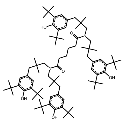 CC(C)(Cc1cc(C(C)(C)C)c(O)c(C(C)(C)C)c1)CN(CC(C)(C)Cc1cc(C(C)(C)C)c(O)c(C(C)(C)C)c1)C(=O)CCCCC(=O)N(CC(C)(C)Cc1cc(C(C)(C)C)c(O)c(C(C)(C)C)c1)CC(C)(C)Cc1cc(C(C)(C)C)c(O)c(C(C)(C)C)c1